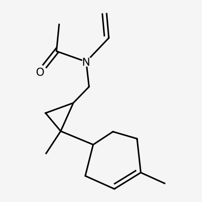 C=CN(CC1CC1(C)C1CC=C(C)CC1)C(C)=O